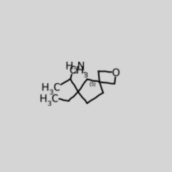 CCC1(C(C)C)CCC2(COC2)[C@H]1N